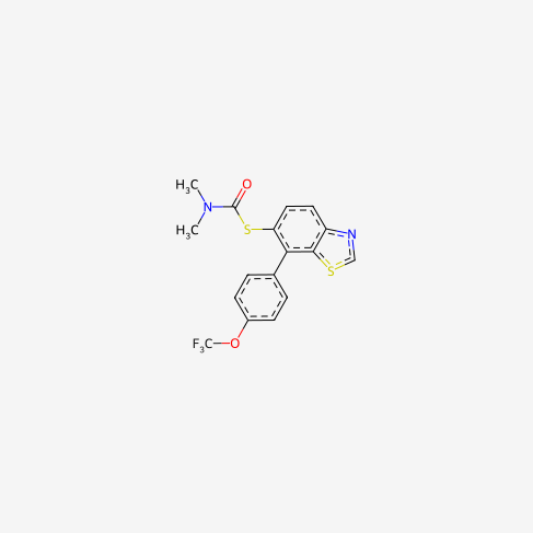 CN(C)C(=O)Sc1ccc2ncsc2c1-c1ccc(OC(F)(F)F)cc1